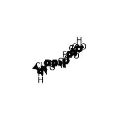 CN(CC(=O)N1CCN(c2cccc(-c3cnc4[nH]cc(C5CC5)c4c3Cl)c2)C(=O)C1)C1CCN(c2cc3c(cc2F)C(=O)N(C2CCC(=O)NC2=O)C3=O)CC1